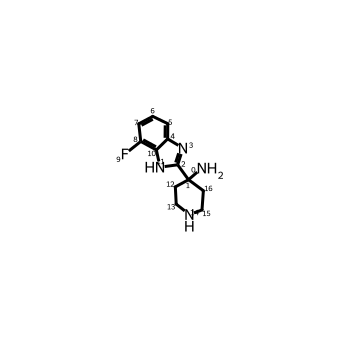 NC1(c2nc3cccc(F)c3[nH]2)CCNCC1